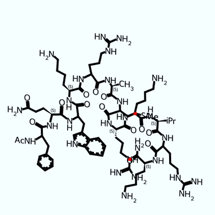 CSCCC(NC(=O)[C@H](C)NC(=O)C(CCCNC(=N)N)NC(=O)[C@H](CCCCN)NC(=O)C(Cc1c[nH]c2ccccc12)NC(=O)[C@H](CCC(N)=O)NC(=O)C(Cc1ccccc1)NC(C)=O)C(=O)N[C@@H](CCCNC(=N)N)C(=O)NC(CCCCN)C(=O)N[C@H](C(=O)NC(CCCNC(=N)N)C(=O)N[C@@H](CCCCN)C(N)=O)C(C)C